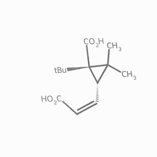 CC(C)(C)[C@]1(C(=O)O)[C@@H](/C=C\C(=O)O)C1(C)C